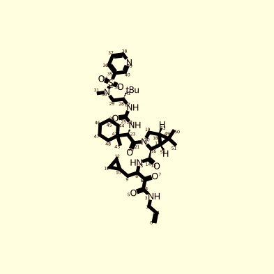 C=CCNC(=O)C(=O)C(CC1CC1)NC(=O)[C@@H]1[C@@H]2[C@H](CN1C(=O)[C@@H](NC(=O)N[C@H](CN(C)S(=O)(=O)c1cccnc1)C(C)(C)C)C1(C)CCCCC1)C2(C)C